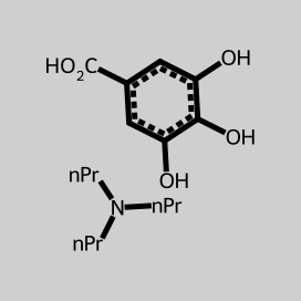 CCCN(CCC)CCC.O=C(O)c1cc(O)c(O)c(O)c1